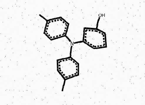 Cc1ccc(N(c2ccc(C)cc2)c2cccc(O)c2)cc1